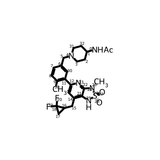 CC(=O)NC1CCN(Cc2ccc(C)c(-c3cc(CC4CC4(F)F)c4c(n3)N(C)S(=O)(=O)N4)c2)CC1